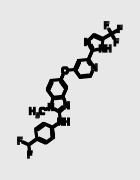 Cn1c(Nc2ccc(C(F)F)cc2)nc2cc(Oc3ccnc(-c4ncc(C(F)(F)F)[nH]4)c3)ccc21